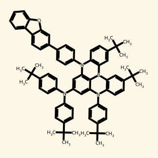 CC(C)(C)c1ccc(N(c2ccc(C(C)(C)C)cc2)c2cc3c4c(c2)N(c2ccc(C(C)(C)C)cc2)c2ccc(C(C)(C)C)cc2B4c2cc(C(C)(C)C)ccc2N3c2ccc(-c3ccc4c(c3)oc3ccccc34)cc2)cc1